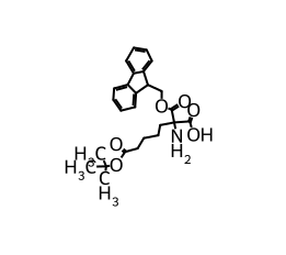 CC(C)(C)OC(=O)CCCCC(N)(C(=O)O)C(=O)OCC1c2ccccc2-c2ccccc21